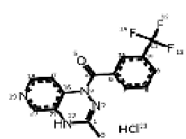 CC1=NN(C(=O)c2cccc(C(F)(F)F)c2)c2ccncc2N1.Cl